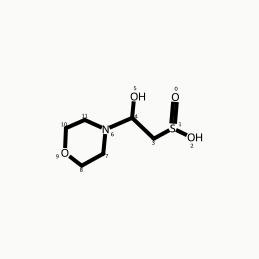 O=S(O)CC(O)N1CCOCC1